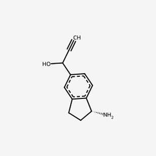 C#CC(O)c1ccc2c(c1)CC[C@H]2N